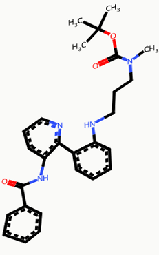 CN(CCCNc1ccccc1-c1ncccc1NC(=O)c1ccccc1)C(=O)OC(C)(C)C